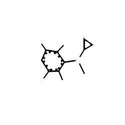 CN(c1c(O)c(F)cc(N)c1Cl)C1CC1